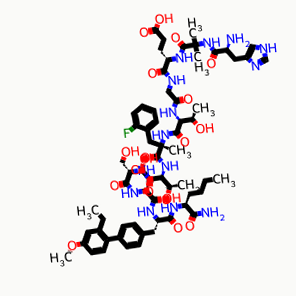 CCCC[C@H](NC(=O)[C@H](Cc1ccc(-c2ccc(OC)cc2CC)cc1)NC(=O)[C@H](CC(=O)O)NC(=O)[C@H](CO)NC(=O)[C@@H](NC(=O)[C@](C)(Cc1ccccc1F)NC(=O)[C@@H](NC(=O)CNC(=O)[C@H](CCC(=O)O)NC(=O)C(C)(C)NC(=O)[C@@H](N)Cc1c[nH]cn1)[C@@H](C)O)[C@@H](C)O)C(N)=O